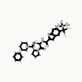 CC(C)(C)C(NC(=O)c1cc2cc(C(F)(F)P(=O)(O)O)ccc2s1)C(=O)N1CCC[C@H]1C(=O)N1CCC[C@@H](c2ccccc2)C1